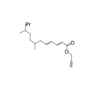 C#CCOC(=O)C=CC=CCC(C)CCC(C)C(C)C